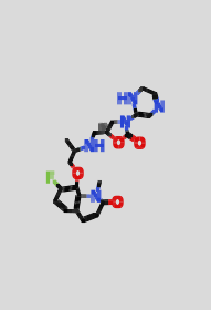 CC(COc1c(F)ccc2ccc(=O)n(C)c12)NC[C@H]1CN(C2=CN=CCN2)C(=O)O1